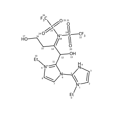 CC[n+]1cc[nH]c1-n1cc[n+](CC)c1C(O)C(CCO)=[N+](S(=O)(=O)C(F)(F)F)S(=O)(=O)C(F)(F)F